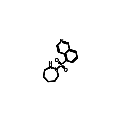 O=S(=O)(c1cccc2cnccc12)N1CCCCCN1